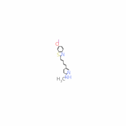 CNc1ccc(/C=C/C=C/c2nc3ccc(OI)cc3s2)cn1